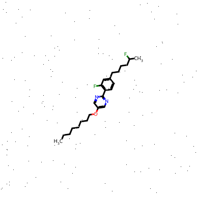 CCCCCCCCOc1cnc(-c2ccc(CCCCC(C)F)cc2F)nc1